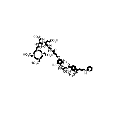 Cc1cc(OCCCC(=O)NCCNC(=O)C(CCC(=O)O)NC(=O)[C@H](CCC(=O)O)NC(=O)CN2CCN(CC(=O)O)CCN(CC(=O)O)CCN(CC(=O)O)CC2)cc(C)c1S(=O)(=O)N[C@@H](CNC(=O)c1ccc2c(CCCNC3=NCCCC3)nn(C)c2c1)C(=O)O